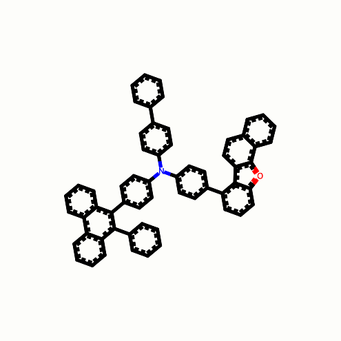 c1ccc(-c2ccc(N(c3ccc(-c4c(-c5ccccc5)c5ccccc5c5ccccc45)cc3)c3ccc(-c4cccc5oc6c7ccccc7ccc6c45)cc3)cc2)cc1